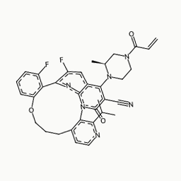 C=CC(=O)N1CCN(c2c(C#N)c(=O)n3c4nc(c(F)cc24)-c2c(F)cccc2OCCCc2ccnc(C(C)C)c2-3)[C@@H](C)C1